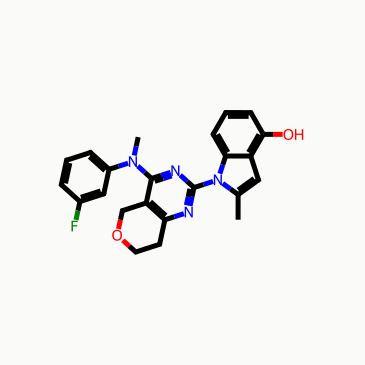 Cc1cc2c(O)cccc2n1-c1nc2c(c(N(C)c3cccc(F)c3)n1)COCC2